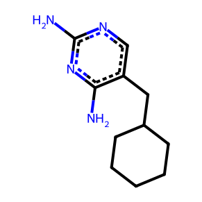 Nc1ncc(CC2CCCCC2)c(N)n1